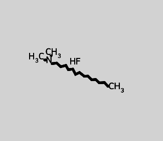 CCCCCCCCCCCCCCCCN(CC)CC.F